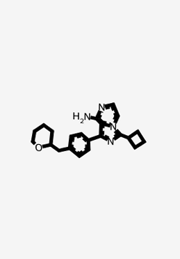 Nc1nccn2c(C3CCC3)nc(-c3ccc(CC4CCCCO4)cc3)c12